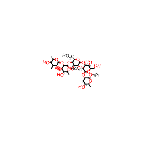 CCCO[C@@H]1OC(C)[C@H](O)[C@H](C)C1O[C@@H]1OC(CO)[C@H](O)[C@H](O[C@@H]2OC(C(=O)O)[C@H](O[C@@H]3O[C@@H](C)[C@H](O)C(O)C3O[C@@H]3O[C@@H](C)[C@H](O)C(C)C3O)[C@H](O)C2O)C1NC(C)=O